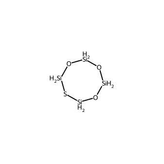 O1[SiH2]O[SiH2]S[SiH2]O[SiH2]1